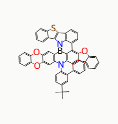 CC(C)(C)c1ccc(N2c3cc4c(cc3B3c5c2cc2c(oc6ccccc62)c5-c2cccc5c6sc7ccccc7c6n3c25)Oc2ccccc2O4)c(-c2ccccc2)c1